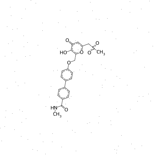 CNC(=O)c1ccc(-c2ccc(OCc3oc(CS(C)(=O)=O)cc(=O)c3O)cc2)cc1